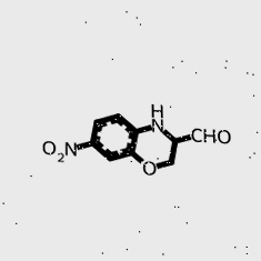 O=CC1COc2cc([N+](=O)[O-])ccc2N1